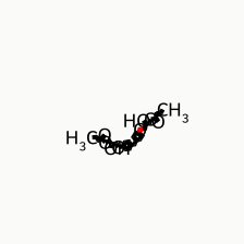 CC=CC(=O)OCC(O)COc1ccc(Cc2ccc(OCC(O)COC(=O)C=CC)cc2)cc1